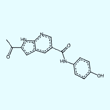 CC(=O)c1cc2cc(C(=O)Nc3ccc(O)cc3)cnc2[nH]1